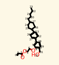 C=CC(=O)OCCOc1cc(-c2ccc(C3CCC(CCCCC)CC3)cc2)ccc1CO